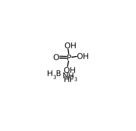 B.F.N.O=P(O)(O)O